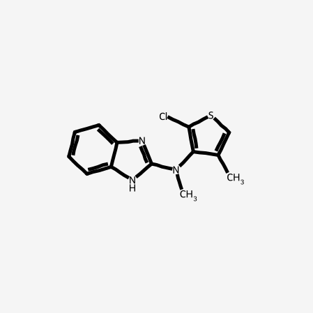 Cc1csc(Cl)c1N(C)c1nc2ccccc2[nH]1